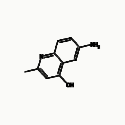 Cc1cc(O)c2cc(N)ccc2n1